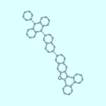 c1ccc(-c2c3ccccc3c(-c3ccc4cc(-c5ccc6cc7c(cc6c5)oc5c6ccccc6c6ccccc6c75)ccc4c3)c3ccccc23)cc1